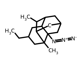 CCC1CC2C3CC4CC(C3C)C(C)(C1)C2(N=[N+]=[N-])C4